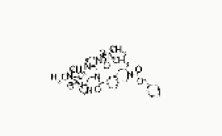 CN(C)S(=O)(=O)n1ccnc1CN(Cc1nccn1S(=O)(=O)N(C)C)C(=O)c1ccc2c(c1)CCN(C(=O)OCc1ccccc1)C2